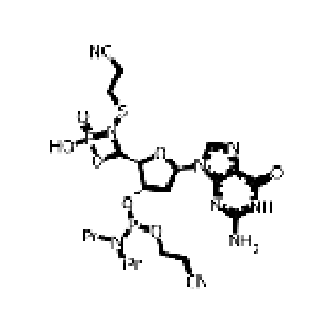 CC(C)N(C(C)C)P(OCCC#N)O[C@H]1C[C@H](n2cnc3c(=O)[nH]c(N)nc32)O[C@@H]1C1OP(=O)(O)N1SCCC#N